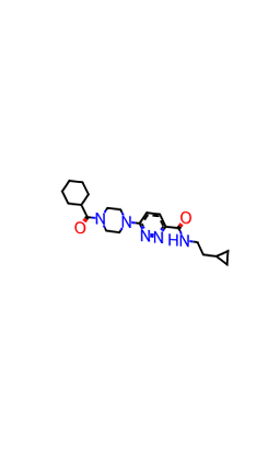 O=C(NCCC1CC1)c1ccc(N2CCN(C(=O)C3CCCCC3)CC2)nn1